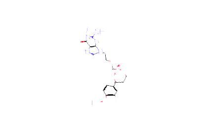 COc1ccc(C2CCOP(=O)(COCCn3cnc4c(=O)[nH]c(N)nc43)O2)cc1Cl